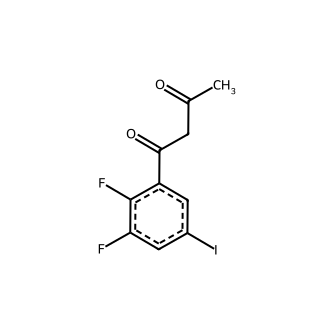 CC(=O)CC(=O)c1cc(I)cc(F)c1F